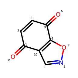 O=C1C=CC(=O)c2oncc21